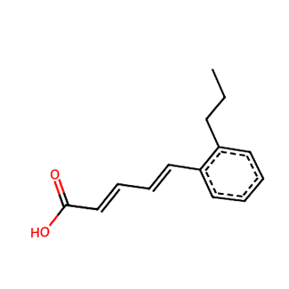 CCCc1ccccc1/C=C/C=C/C(=O)O